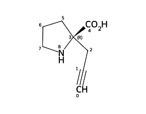 C#CC[C@@]1(C(=O)O)CCCN1